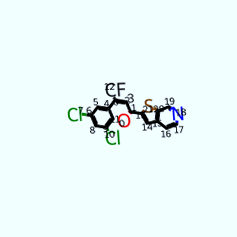 O=C(C=C(c1cc(Cl)cc(Cl)c1)C(F)(F)F)c1cc2ccncc2s1